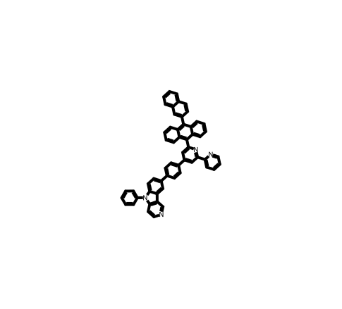 c1ccc(-n2c3ccncc3c3cc(-c4ccc(-c5cc(-c6ccccn6)nc(-c6c7ccccc7c(-c7ccc8ccccc8c7)c7ccccc67)c5)cc4)ccc32)cc1